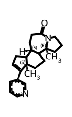 C[C@]12CCC3[C@@H](CCC(=O)N4CCC[C@]34C)C1CC=C2c1cccnc1